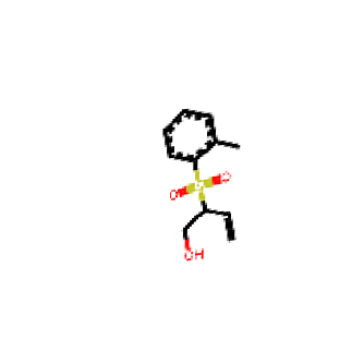 C=CC(CO)S(=O)(=O)c1ccccc1C